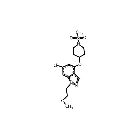 COCCn1ncc2c(OC3CCN(S(C)(=O)=O)CC3)cc(Cl)cc21